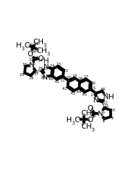 CC(C)(C)OC(=O)N1CCC[C@H]1C1=NC(c2ccc3cc(-c4ccc5[nH]c([C@@H]6CCCN6C(=O)OC(C)(C)C)nc5c4)ccc3c2)CN1